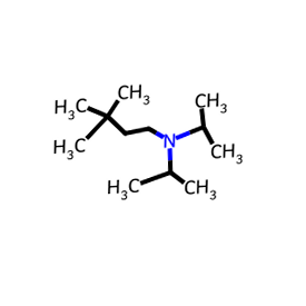 CC(C)N(CCC(C)(C)C)C(C)C